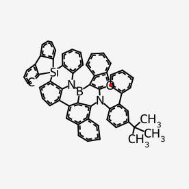 CC(C)(C)c1ccc(N2c3oc4ccccc4c3B3c4c(cc5ccccc5c42)-c2cccc4c2N3c2ccccc2[Si]42c3ccccc3-c3ccccc32)c(-c2ccccc2)c1